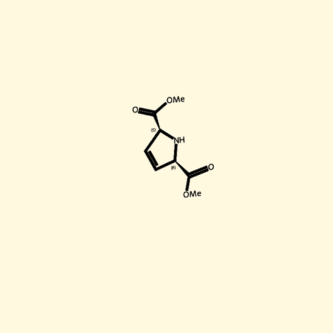 COC(=O)[C@@H]1C=C[C@H](C(=O)OC)N1